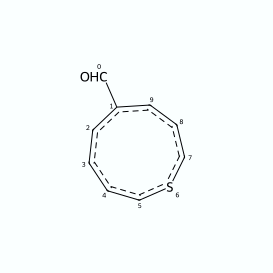 O=Cc1ccccsccc1